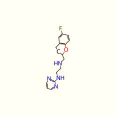 Fc1ccc2c(c1)CCC(CNCCNc1ncccn1)O2